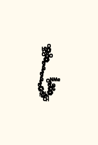 CNC(=O)COc1cc2cc(Nc3nc(N4CCC(OCCOCCOCCOCCOc5ccc6c(c5)C(=O)N(C5CCC(=O)NC5=O)C6=O)CC4)ncc3Cl)ccc2n(C)c1=O